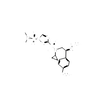 CO/N=C(\CN(C1CC1)S(=O)(=O)c1ncn(S(=O)(=O)N(C)C)n1)c1ccc(OC)cc1